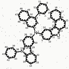 c1ccc(-c2cc(N(c3ccc4oc5ccc6ccccc6c5c4c3)c3ccc4c(c3)c3ccccc3n4-c3ccccc3)cc3ccccc23)cc1